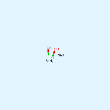 OCl.OCl.[BaH2].[NaH]